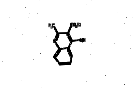 CCOC(=O)c1c(C(F)(F)F)nc2ccccc2c1O